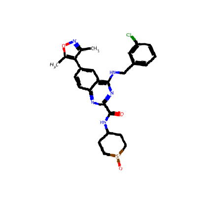 Cc1noc(C)c1-c1ccc2nc(C(=O)NC3CC[S+]([O-])CC3)nc(NCc3cccc(Cl)c3)c2c1